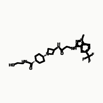 Cn1nc(NCC(=O)NC2CN([C@H]3CC[C@@H](C(=O)NCCO)CC3)C2)c2cc(C(F)(F)F)ccc21